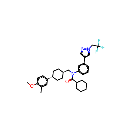 COc1ccc([C@H]2CC[C@H](CN(C(=O)C3CCCCC3)c3cccc(-c4cnn(CC(F)(F)F)c4)c3)CC2)cc1C